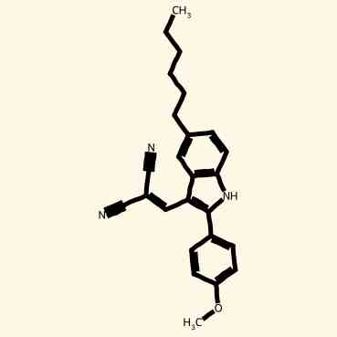 CCCCCCc1ccc2[nH]c(-c3ccc(OC)cc3)c(C=C(C#N)C#N)c2c1